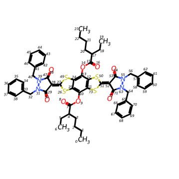 CCCCC(CC)C(=O)Oc1c2c(c(OC(=O)C(CC)CCCC)c3c1SC(=C1C(=O)N(Cc4ccccc4)N(Cc4ccccc4)C1=O)S3)SC(=C1C(=O)N(Cc3ccccc3)N(Cc3ccccc3)C1=O)S2